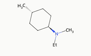 CCN(C)[C@H]1CC[C@H](C)CC1